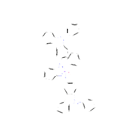 O=P1(c2ccccc2)N(c2ccc3c(c2)c2ccccc2n3-c2ccccc2)c2ccccc2N1c1ccc2c(c1)c1ccccc1n2-c1ccccc1